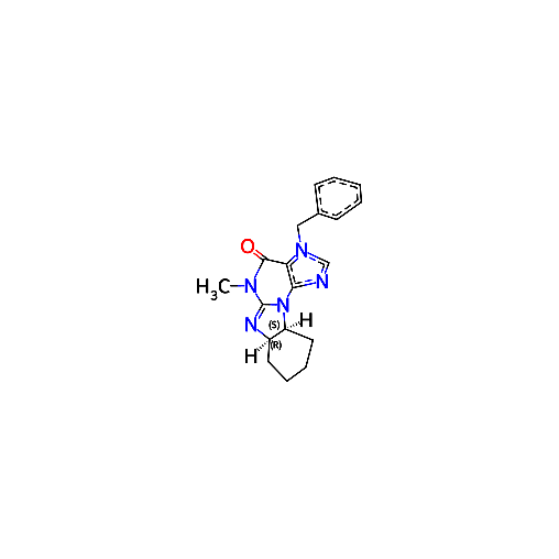 CN1C(=O)c2c(ncn2Cc2ccccc2)N2C1=N[C@@H]1CCCC[C@@H]12